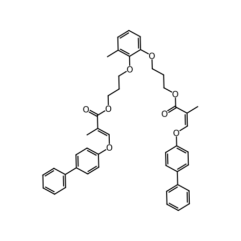 CC(=COc1ccc(-c2ccccc2)cc1)C(=O)OCCCOc1cccc(C)c1OCCCOC(=O)C(C)=COc1ccc(-c2ccccc2)cc1